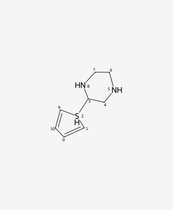 C1=C[SH](C2CNCCN2)C=C1